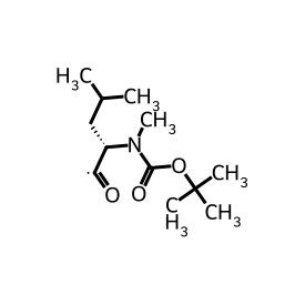 CC(C)C[C@@H]([C]=O)N(C)C(=O)OC(C)(C)C